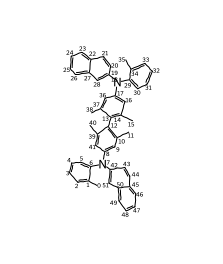 Cc1ccccc1N(c1cc(C)c(-c2c(C)cc(N(c3ccc4ccccc4c3)c3ccccc3C)cc2C)c(C)c1)c1ccc2ccccc2c1